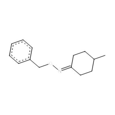 CC1CCC(=NOCc2ccccc2)CC1